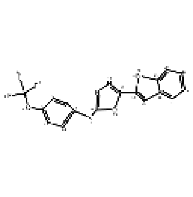 FC(F)(F)Oc1ccc(Sc2nnc(-c3cc4ccccc4[nH]3)o2)cc1